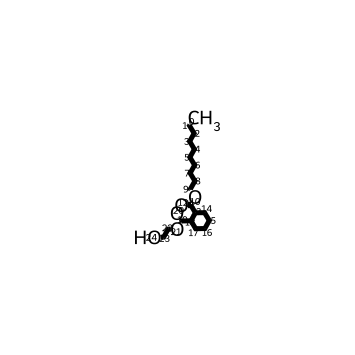 CCCCCCCCCCOC(=O)C1CCCCC1C(=O)OCCO